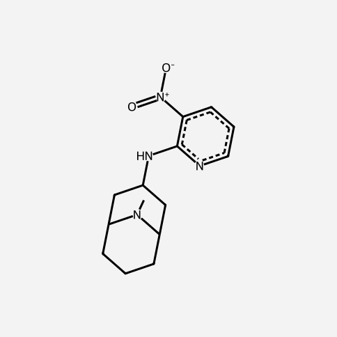 CN1C2CCCC1CC(Nc1ncccc1[N+](=O)[O-])C2